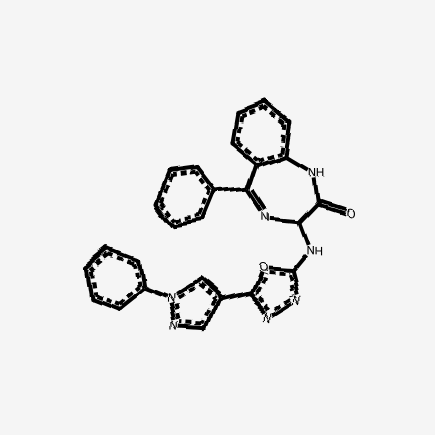 O=C1Nc2ccccc2C(c2ccccc2)=NC1Nc1nnc(-c2cnn(-c3ccccc3)c2)o1